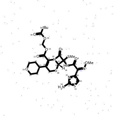 CO/N=C(\C(=O)NC1(SC)C(=O)N2C(C(=O)OCOC(=O)C(C)(C)C)=C(C3CCOCC3)CS[C@H]21)c1csc(N)n1